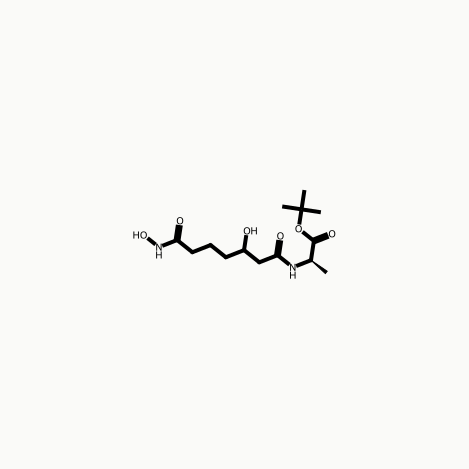 C[C@@H](NC(=O)CC(O)CCCC(=O)NO)C(=O)OC(C)(C)C